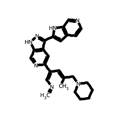 C=N/C=C(\C=C(/C)CN1CCCCC1)c1cc2c(-c3cc4ccncc4[nH]3)n[nH]c2cn1